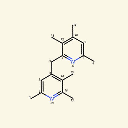 Cc1cc(Cc2nc(C)cc(C)c2C)c(C)c(C)n1